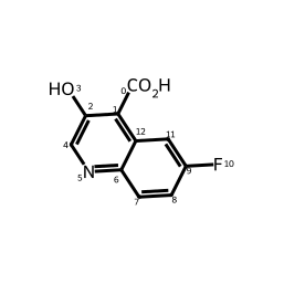 O=C(O)c1c(O)cnc2ccc(F)cc12